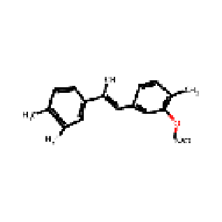 CCCCCCCCOc1cc(/C=C(\C#N)c2ccc(C)c(C)c2)ccc1C